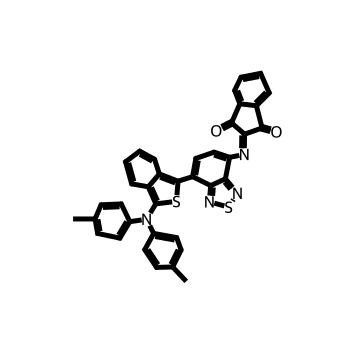 Cc1ccc(N(c2ccc(C)cc2)c2sc(-c3ccc(N=c4c(=O)c5ccccc5c4=O)c4nsnc34)c3ccccc23)cc1